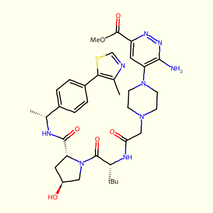 COC(=O)c1cc(N2CCN(CC(=O)N[C@@H](C(=O)N3C[C@@H](O)C[C@@H]3C(=O)N[C@H](C)c3ccc(-c4scnc4C)cc3)C(C)(C)C)CC2)c(N)nn1